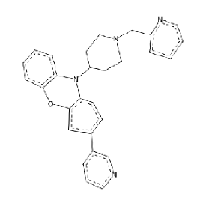 c1ccc(CN2CCC(N3c4ccccc4Oc4cc(-c5cccnc5)ccc43)CC2)nc1